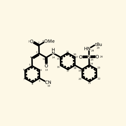 COC(=O)C(=Cc1cccc(C#N)c1)C(=O)Nc1ccc(-c2ccccc2S(=O)(=O)NC(C)(C)C)cc1